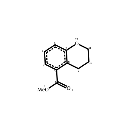 COC(=O)c1cccc2c1CCCO2